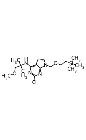 COCC(C)(C)Nc1nc(Cl)nc2c1ccn2COCC[Si](C)(C)C